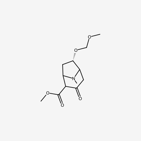 COCO[C@H]1CC2C(C(=O)OC)C(=O)CC1N2C